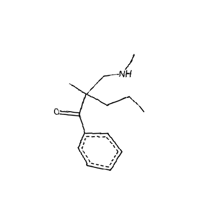 CCCC(C)(CNC)C(=O)c1ccccc1